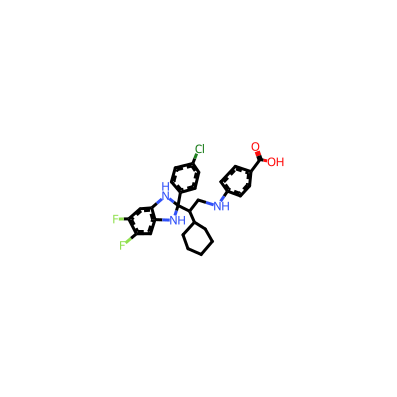 O=C(O)c1ccc(NCC(C2CCCCC2)C2(c3ccc(Cl)cc3)Nc3cc(F)c(F)cc3N2)cc1